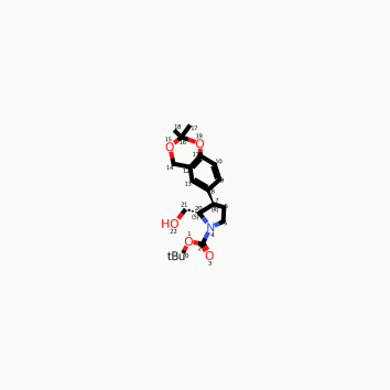 CC(C)(C)OC(=O)N1CC[C@H](c2ccc3c(c2)COC(C)(C)O3)[C@H]1CO